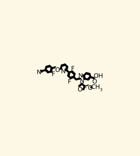 COC[C@H]1COC[C@H]1n1c(Cc2cc(F)c(-c3cccc(OCc4ccc(C#N)cc4F)n3)cc2F)nc2ccc(C(=O)O)cc21